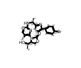 C[C@H](Nc1ncc(F)c(N2C(=O)OCC2[C@@H](C)O)n1)c1nc(-c2ccc(Br)cc2)cs1